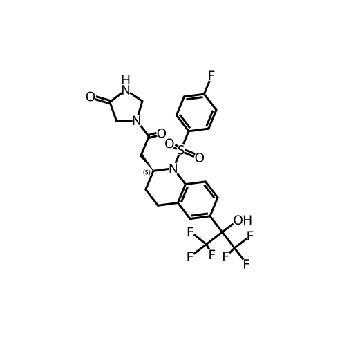 O=C1CN(C(=O)C[C@@H]2CCc3cc(C(O)(C(F)(F)F)C(F)(F)F)ccc3N2S(=O)(=O)c2ccc(F)cc2)CN1